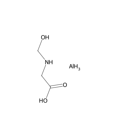 O=C(O)CNCO.[AlH3]